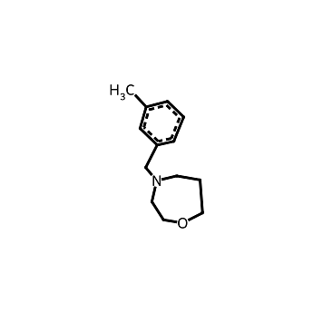 Cc1cccc(CN2CCCOCC2)c1